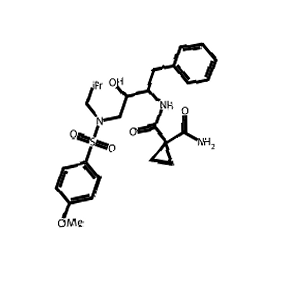 COc1ccc(S(=O)(=O)N(CC(C)C)CC(O)C(Cc2ccccc2)NC(=O)C2(C(N)=O)CC2)cc1